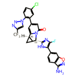 Nc1noc2cc(-c3[nH]c([C@@H]4C5C[C@H]5c5cc(-c6cc(Cl)ccc6-n6cc(C(F)(F)F)nn6)cc(=O)n54)nc3F)ccc12